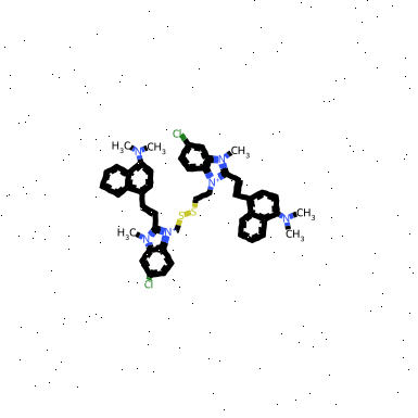 CN(C)c1ccc(/C=C/c2n(C)c3cc(Cl)ccc3[n+]2CCSSC[n+]2c(/C=C/c3ccc(N(C)C)c4ccccc34)n(C)c3cc(Cl)ccc32)c2ccccc12